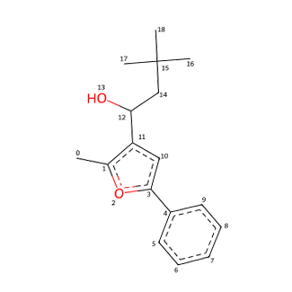 Cc1oc(-c2ccccc2)cc1C(O)CC(C)(C)C